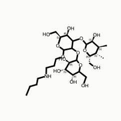 CCCCNCCCOC1O[C@@H](CO)[C@@H](O)C(OC2O[C@@H](CO)[C@@H](C)[C@H](C)[C@@H]2O)C1OC1OC(CO)[C@H](O)[C@H](O)[C@H]1O